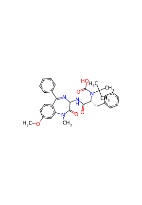 COc1ccc2c(c1)N(C)C(=O)C(NC(=O)[C@@H](Cc1ccccc1)N(C(=O)O)C(C)(C)C)N=C2c1ccccc1